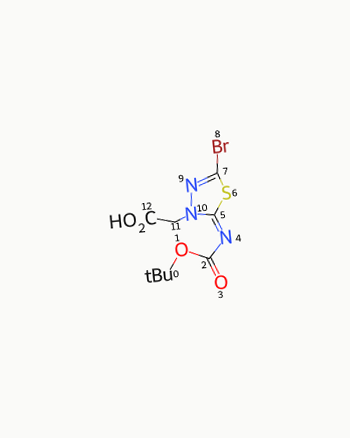 CC(C)(C)OC(=O)N=c1sc(Br)nn1CC(=O)O